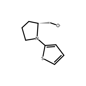 [O]C[C@H]1CCCN1c1cccs1